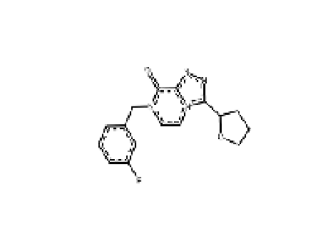 O=c1c2nnc(C3CCCO3)n2ccn1Cc1cccc(F)c1